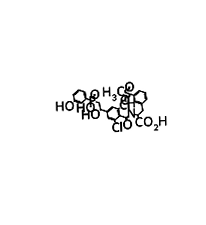 CS(=O)(=O)c1cccc(CC(NC(=O)c2c(Cl)cc(C(O)CP(=O)(O)c3cccc(O)c3)cc2Cl)C(=O)O)c1